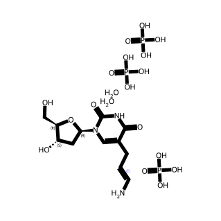 N/C=C/Cc1cn([C@H]2C[C@H](O)[C@@H](CO)O2)c(=O)[nH]c1=O.O.O.O=P(O)(O)O.O=P(O)(O)O.O=P(O)(O)O